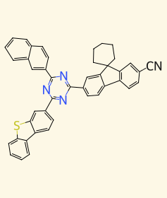 N#Cc1ccc2c(c1)C1(CCCCC1)c1cc(-c3nc(-c4ccc5ccccc5c4)nc(-c4ccc5c(c4)sc4ccccc45)n3)ccc1-2